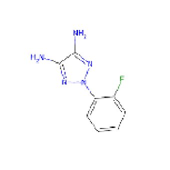 Nc1nn(-c2ccccc2F)nc1N